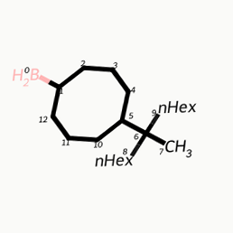 BC1CCCC(C(C)(CCCCCC)CCCCCC)CCC1